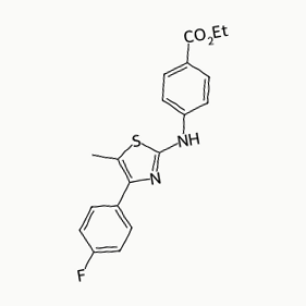 CCOC(=O)c1ccc(Nc2nc(-c3ccc(F)cc3)c(C)s2)cc1